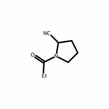 CCC(=O)N1CCCC1C#N